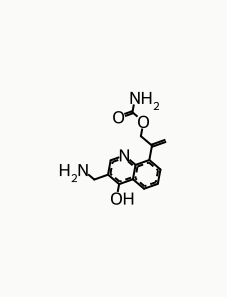 C=C(COC(N)=O)c1cccc2c(O)c(CN)cnc12